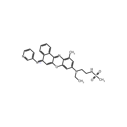 CCN(CCNS(C)(=O)=O)c1cc(C)c2nc3c4ccccc4/c(=N\c4cccnc4)cc-3oc2c1